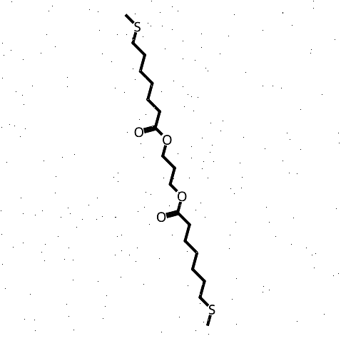 CSCCCCCCC(=O)OCCCOC(=O)CCCCCCSC